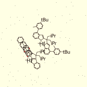 CC(C)CC1(CC(C)C)C2=C(c3ccc(-c4ccccc4)cc3)[CH](c3ccccc32)[Hf]([CH3])([CH3])[CH]2C(c3ccc(-c4ccccc4)cc3)=C1c1ccccc12.Cc1cc(C(C)(C)C)ccc1-c1cccc2c1C=C1[CH]2[Hf]([CH3])([CH3])[CH]2C(=Cc3c(-c4ccc(C(C)(C)C)cc4C)cccc32)C1(CC(C)C)CC(C)C